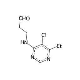 CCc1ncnc(NCCC=O)c1Cl